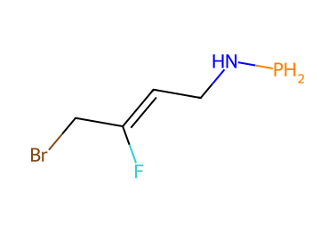 F/C(=C\CNP)CBr